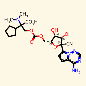 CN(C)C(COC(=O)OC[C@H]1O[C@@](C#N)(c2ccc3c(N)ncnn23)[C@H](O)[C@@H]1O)(C(=O)O)C1CCCC1